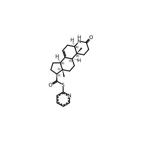 C[C@]12CCC(=O)N[C@@H]1CC=C1[C@@H]2CC[C@]2(C)[C@@H](C(=O)Sc3ccccn3)CC[C@@H]12